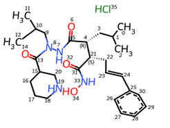 CC(C)C[C@@H](C(=O)NN(CC(C)C)C(=O)C1CCCNC1)[C@H](CC=Cc1ccccc1)C(=O)NO.Cl